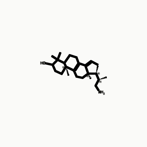 C[C@H](CN)[C@H]1CC=C2C3=C(CC[C@@]21C)[C@@]1(C)CCC(O)C(C)(C)C1CC3